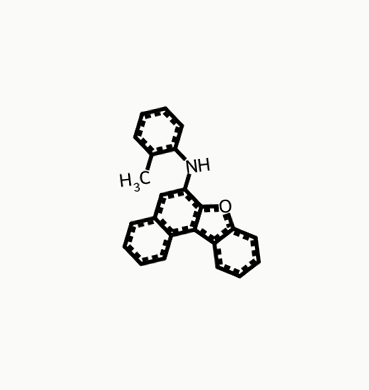 Cc1ccccc1Nc1cc2ccccc2c2c1oc1ccccc12